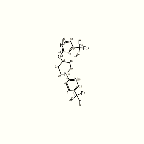 FC(F)(F)c1ccc(N2CCC(Oc3cc(C(F)(F)F)cnn3)CC2)nc1